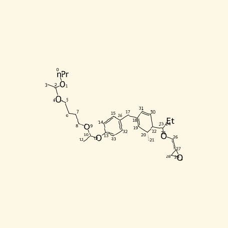 CCCOC(C)OCCCCOC(C)Oc1ccc(CC2=C[C@@H](C)C(C(CC)O/C=C3\CO3)C=C2)cc1